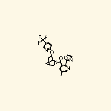 Cc1cnc(-c2ncco2)c(C(=O)N2CC3CC34CC(Oc3ccc(C(F)(F)F)cn3)C24)c1